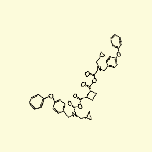 O=C(OC(=O)N(Cc1ccc(Oc2ccccc2)cc1)CC1CC1)C1CCC1C(=O)OC(=O)N(Cc1ccc(Oc2ccccc2)cc1)CC1CC1